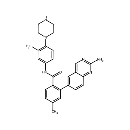 Cc1ccc(C(=O)Nc2ccc(N3CCNCC3)c(C(F)(F)F)c2)c(-c2ccc3nc(N)ncc3c2)c1